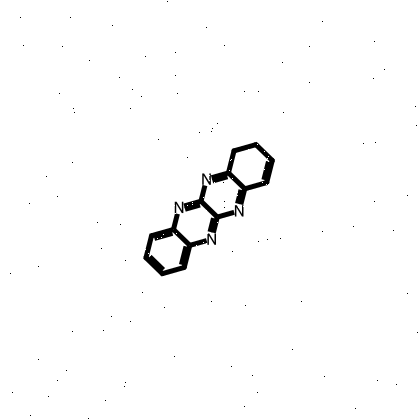 C1=Cc2nc3nc4ccccc4nc3nc2CC1